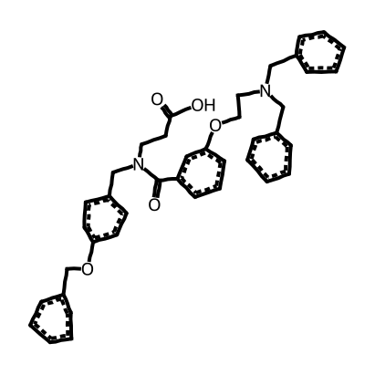 O=C(O)CCN(Cc1ccc(OCc2ccccc2)cc1)C(=O)c1cccc(OCCN(Cc2ccccc2)Cc2ccccc2)c1